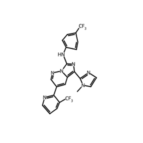 Cn1ccnc1-c1nc(Nc2ccc(C(F)(F)F)cc2)n2ncc(-c3ncccc3C(F)(F)F)cc12